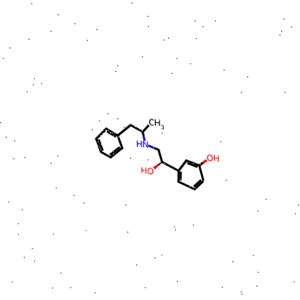 CC(Cc1ccccc1)NC[C@H](O)c1cccc(O)c1